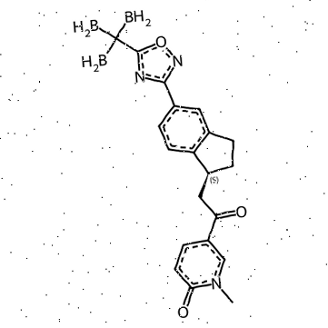 BC(B)(B)c1nc(-c2ccc3c(c2)CC[C@H]3CC(=O)c2ccc(=O)n(C)c2)no1